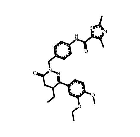 CCOc1cc(C2=NN(Cc3ccc(NC(=O)c4sc(C)nc4C)cc3)C(=O)CC2CC)ccc1OC